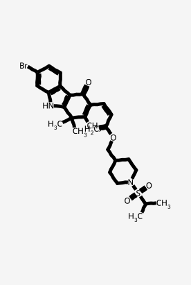 C=C(/C=C\C1=C(C)C(C)(C)c2[nH]c3cc(Br)ccc3c2C1=O)OCC1CCN(S(=O)(=O)C(C)C)CC1